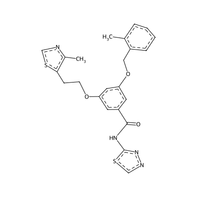 Cc1ccccc1COc1cc(OCCc2scnc2C)cc(C(=O)Nc2nncs2)c1